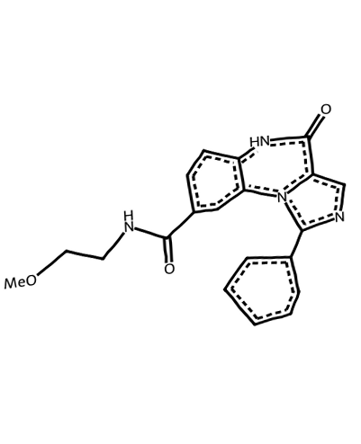 COCCNC(=O)c1ccc2[nH]c(=O)c3cnc(-c4ccccc4)n3c2c1